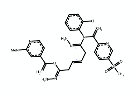 C=C(O/C(C/C=C/C/C(=N/N)N(C(=C)c1ccc(S(C)(=O)=O)cn1)c1ccccc1Cl)=N\N)c1ccnc(NC)c1